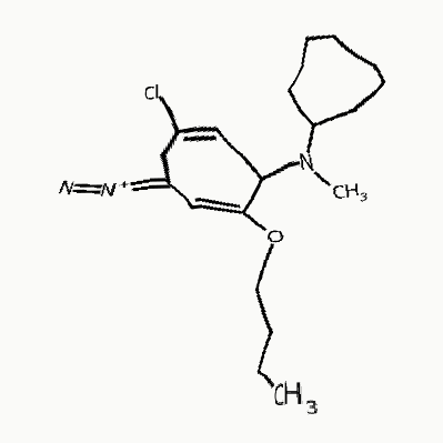 CCCCOC1=CC(=[N+]=[N-])C(Cl)=CC1N(C)C1CCCCC1